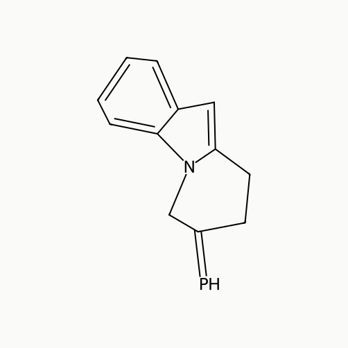 P=C1CCc2cc3ccccc3n2C1